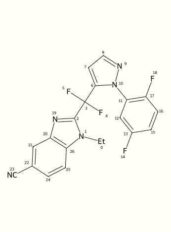 CCn1c(C(F)(F)c2ccnn2-c2cc(F)ccc2F)nc2cc(C#N)ccc21